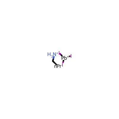 CCCC[NH3+].[I][Pb+]([I])[I]